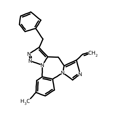 C=Cc1ncn2c1Cc1c(Cc3ccccc3)nnn1-c1cc(C)ccc1-2